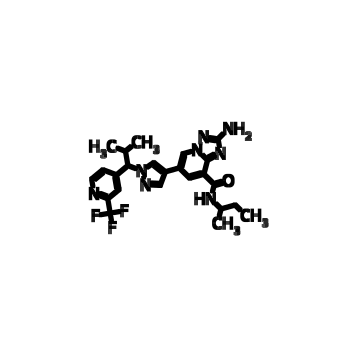 CCC(C)NC(=O)c1cc(-c2cnn(C(c3ccnc(C(F)(F)F)c3)C(C)C)c2)cn2nc(N)nc12